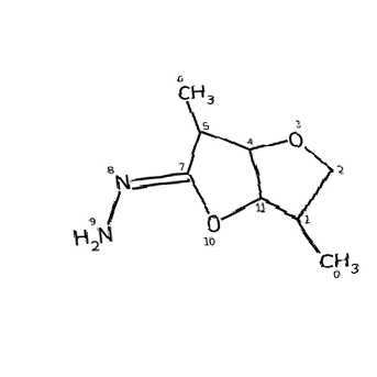 CC1COC2C(C)C(=NN)OC12